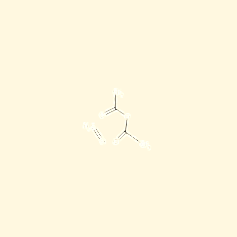 O=C(OC(=O)C(F)(F)F)C(F)(F)F.O=[SH2]